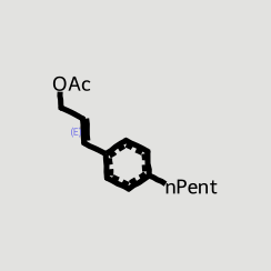 CCCCCc1ccc(/C=C/COC(C)=O)cc1